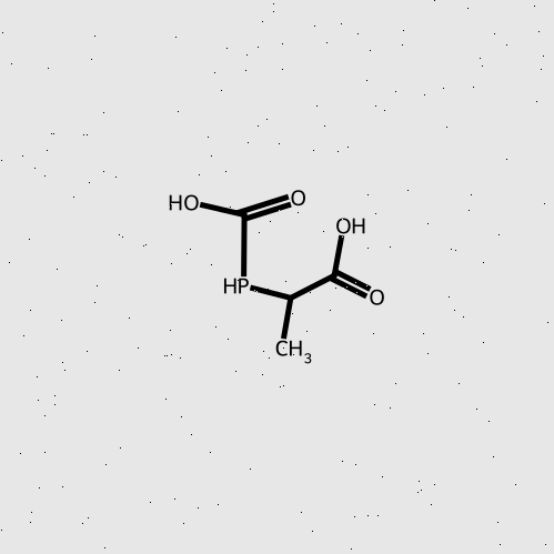 CC(PC(=O)O)C(=O)O